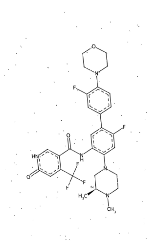 C[C@H]1CN(c2cc(F)c(-c3ccc(N4CCOCC4)c(F)c3)cc2NC(=O)c2c[nH]c(=O)cc2C(F)(F)F)CCN1C